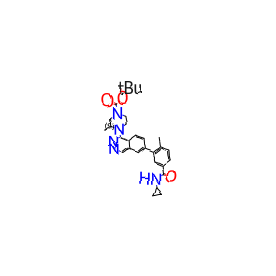 Cc1ccc(C(=O)NC2CC2)cc1-c1ccc2c(N3CCN(C(=O)OC(C)(C)C)C[C@@H]3C)nncc2c1